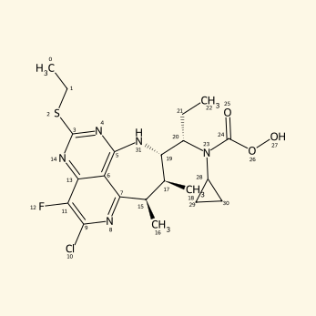 CCSc1nc2c3c(nc(Cl)c(F)c3n1)[C@H](C)[C@H](C)[C@@H]([C@H](CC)N(C(=O)OO)C1CC1)N2